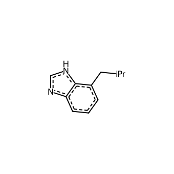 CC(C)Cc1cccc2nc[nH]c12